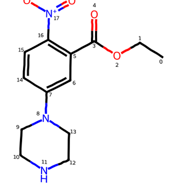 CCOC(=O)c1cc(N2CCNCC2)ccc1[N+](=O)[O-]